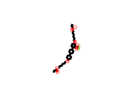 C=CC(=O)OCCCCCCOc1ccc(C2CCC(C3CCC(OCCCCCCOC(=O)C=C)CC3)CC2)c2c1OC(F)(F)O2